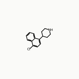 Clc1ccc(C2CCNCC2)c2ccccc12